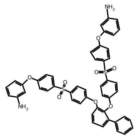 Nc1cccc(Oc2ccc(S(=O)(=O)c3ccc(Oc4cccc(-c5ccccc5)c4Oc4ccc(S(=O)(=O)c5ccc(Oc6cccc(N)c6)cc5)cc4)cc3)cc2)c1